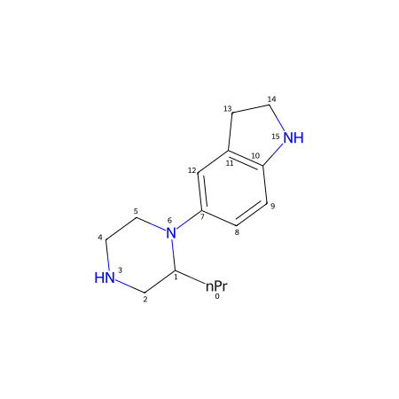 CCCC1CNCCN1c1ccc2c(c1)CCN2